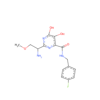 COCC(N)c1nc(O)c(O)c(C(=O)NCc2ccc(F)cc2)n1